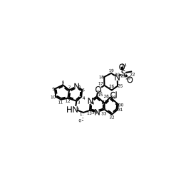 C[C@H](Nc1ccnc2ccccc12)c1nc(OC2CCN(S(C)(=O)=O)CC2)c2c(Cl)cccc2n1